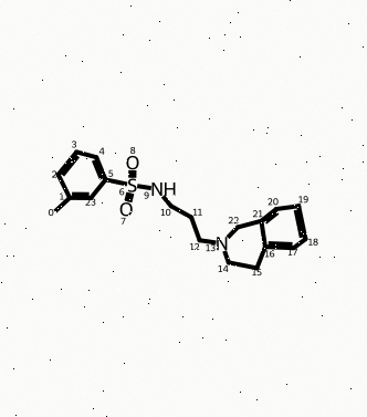 Cc1cccc(S(=O)(=O)NCCCN2CCc3ccccc3C2)c1